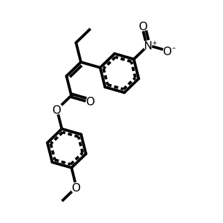 CCC(=CC(=O)Oc1ccc(OC)cc1)c1cccc([N+](=O)[O-])c1